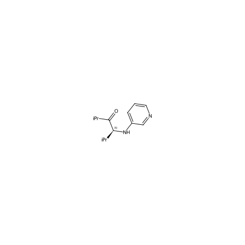 CC(C)C(=O)[C@@H](Nc1cccnc1)C(C)C